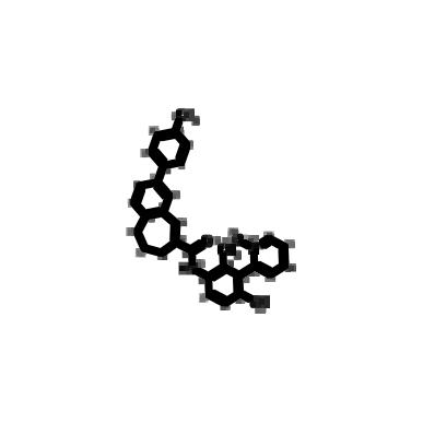 Cc1ccc(-c2ccc3c(c2)C=C(C(=O)Nc2ccc(O)c(-c4cccc[n+]4[O-])c2C)CCC3)cc1